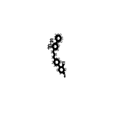 FC1CC(I)CCC1C1CCC(CCCC2CCC(C3CCCCC3)C(F)[C@H]2F)CC1